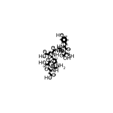 C[C@@H](O)[C@H](NC(=O)[C@H](CC(=O)O)NC(=O)CN)C(=O)N1CCC[C@H]1C(=O)N[C@@H](CCC(=O)O)C(=O)NCC(=O)N[C@@H](Cc1ccc(O)cc1)C(=O)N[C@@H](CS)C(=O)O